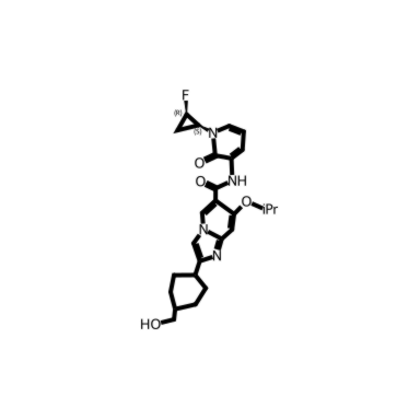 CC(C)Oc1cc2nc(C3CCC(CO)CC3)cn2cc1C(=O)Nc1cccn([C@H]2C[C@H]2F)c1=O